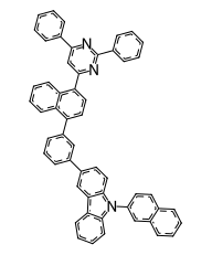 c1ccc(-c2cc(-c3ccc(-c4cccc(-c5ccc6c(c5)c5ccccc5n6-c5ccc6ccccc6c5)c4)c4ccccc34)nc(-c3ccccc3)n2)cc1